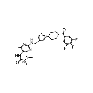 Cc1nc(NCc2cnn(C3CCN(C(=O)c4cc(F)c(F)c(F)c4)CC3)c2)nc2c1NC(=O)[C@H](C)N2C